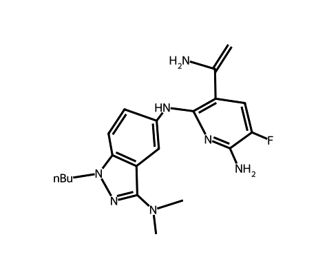 C=C(N)c1cc(F)c(N)nc1Nc1ccc2c(c1)c(N(C)C)nn2CCCC